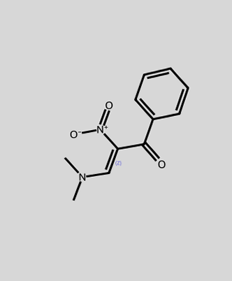 CN(C)/C=C(/C(=O)c1ccccc1)[N+](=O)[O-]